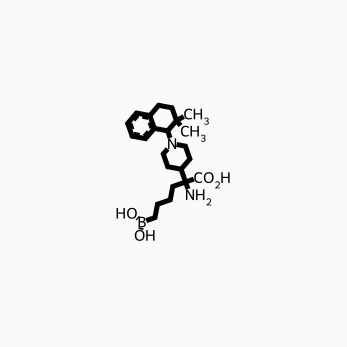 CC1(C)CCc2ccccc2C1N1CCC(C(N)(CCCCB(O)O)C(=O)O)CC1